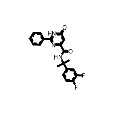 CC(C)(NC(=O)c1cc(=O)[nH]c(-c2ccccc2)n1)c1ccc(F)c(F)c1